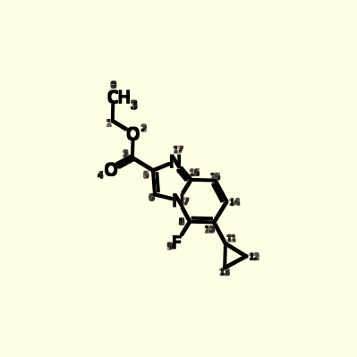 CCOC(=O)c1cn2c(F)c(C3CC3)ccc2n1